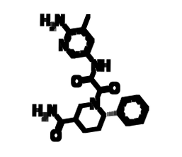 Cc1cc(NC(=O)C(=O)N2CC(C(N)=O)CC[C@H]2c2ccccc2)cnc1N